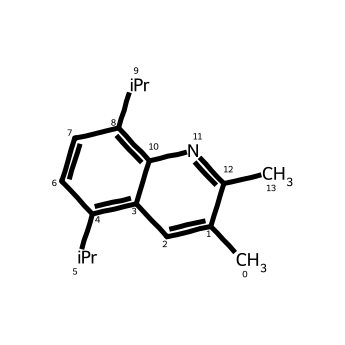 Cc1cc2c(C(C)C)ccc(C(C)C)c2nc1C